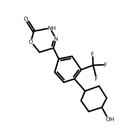 O=C1NN=C(c2ccc(C3CCC(O)CC3)c(C(F)(F)F)c2)CO1